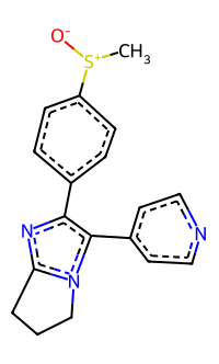 C[S+]([O-])c1ccc(-c2nc3n(c2-c2ccncc2)CCC3)cc1